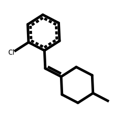 CC1CCC(=Cc2ccccc2Cl)CC1